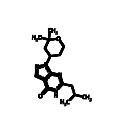 CC(C)Cc1nc2c(cnn2C2CCOC(C)(C)C2)c(=O)[nH]1